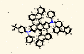 CC(C)(C)c1ccc(N(c2ccccc2)c2ccc3c(-c4cc5ccccc5c5ccccc45)c4cc(N(c5ccccc5)c5ccc6c7c(cccc57)-c5ccccc5-6)ccc4c(-c4cc5ccccc5c5ccccc45)c3c2)cc1